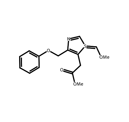 COC=S1C=NC(COc2ccccc2)=C1CC(=O)OC